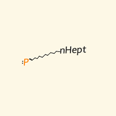 CCCCCCCCCCCCCCCCCC=C[P]